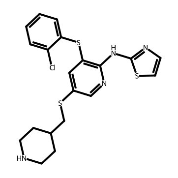 Clc1ccccc1Sc1cc(SCC2CCNCC2)cnc1Nc1nccs1